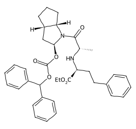 CCOC(=O)[C@H](CCc1ccccc1)N[C@@H](C)C(=O)N1[C@@H](OC(=O)OC(c2ccccc2)c2ccccc2)C[C@@H]2CCC[C@@H]21